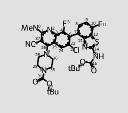 CNc1nc2c(F)c(-c3ccc(F)c4sc(NC(=O)OC(C)(C)C)nc34)c(Cl)cc2c(N2CCN(C(=O)OC(C)(C)C)CC2)c1C#N